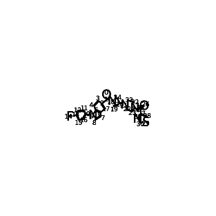 O=C(c1ccc2c(ccn2-c2ccc(F)cc2)c1)N1CC(N2CCN(C(=O)c3cscn3)CC2)C1